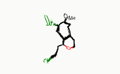 COc1cc2c(cc1Br)C(CCCl)OCC2